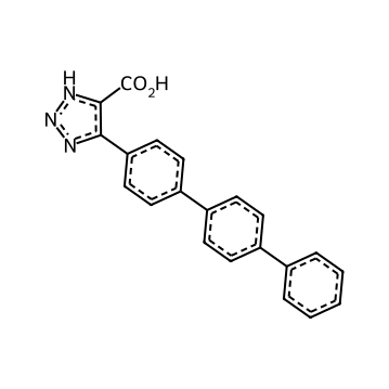 O=C(O)c1[nH]nnc1-c1ccc(-c2ccc(-c3ccccc3)cc2)cc1